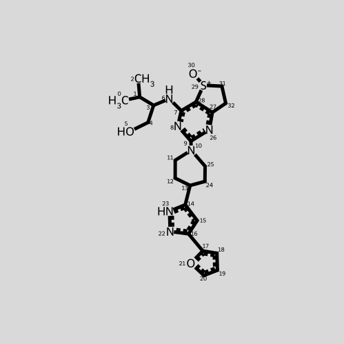 CC(C)C(CO)Nc1nc(N2CCC(c3cc(-c4ccco4)n[nH]3)CC2)nc2c1[S+]([O-])CC2